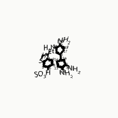 CCN1CSc2cc(S(=O)(=O)O)ccc21.Nc1ccc(-c2ccc(N)c(N)c2)cc1N